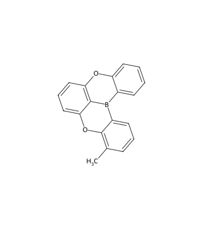 Cc1cccc2c1Oc1cccc3c1B2c1ccccc1O3